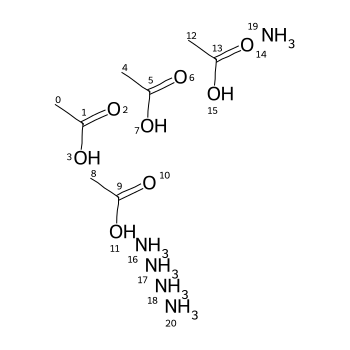 CC(=O)O.CC(=O)O.CC(=O)O.CC(=O)O.N.N.N.N.N